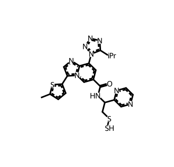 Cc1ccc(-c2cnc3c(-n4nnnc4C(C)C)cc(C(=O)NC(CSS)c4cnccn4)cn23)s1